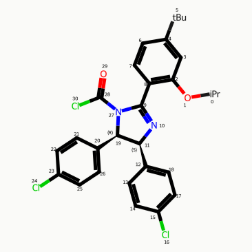 CC(C)Oc1cc(C(C)(C)C)ccc1C1=N[C@@H](c2ccc(Cl)cc2)[C@@H](c2ccc(Cl)cc2)N1C(=O)Cl